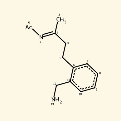 CC(=O)N=C(C)CCc1ccccc1CN